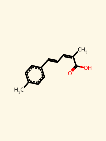 CC(=CC=Cc1ccc(C)cc1)C(=O)O